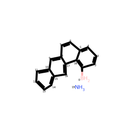 Bc1cccc2ccc3cc4ccccc4cc3c12.N